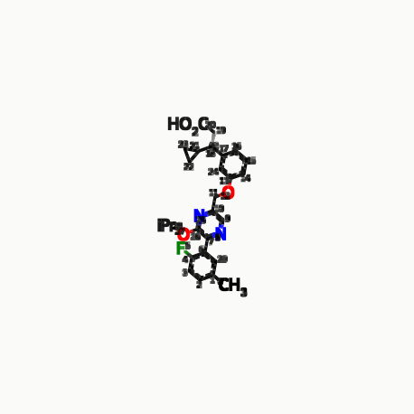 Cc1ccc(F)c(-c2ncc(COc3cccc([C@@H](CC(=O)O)C4CC4)c3)nc2OC(C)C)c1